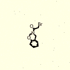 O=C(CBr)N1COc2ccccc2C1